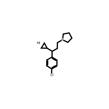 Clc1ccc(C(CCN2CCCC2)C2CC2)cc1.I